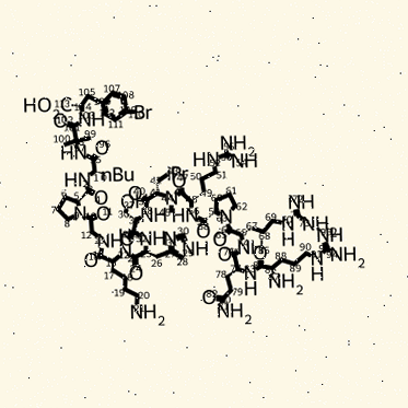 CCCC[C@H](NC(=O)[C@@H]1CCCN1C(=O)CNC(=O)[C@H](CCCCN)NC(=O)[C@H](Cc1c[nH]cn1)NC(=O)[C@H](CO)NC(=O)[C@H](CC(C)C)N(C)C(=O)[C@H](CCCNC(=N)N)NC(=O)[C@@H]1CCCN1C(=O)[C@H](CCCNC(=N)N)NC(=O)[C@H](CCC(N)=O)NC(=O)[C@@H](N)CCCNC(=N)N)C(=O)NC(C)(C)C(=O)N[C@@H](Cc1ccc(Br)cc1)C(=O)O